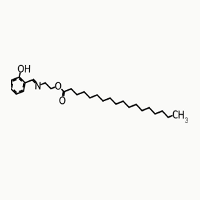 CCCCCCCCCCCCCCCCCC(=O)OCC/N=C/c1ccccc1O